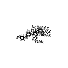 COC(=O)C[C@H]1O[C@H](c2cccc(Oc3ccc(F)cc3)c2)[C@@H](O)[C@@H](O[C@H]2O[C@H](COC(C)=O)[C@@H](OC(C)=O)[C@@H](OC(C)=O)[C@H]2OC(C)=O)[C@@H]1OC(C)=O